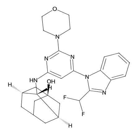 O[C@]12CC3C[C@H](C1)[C@@H](Nc1cc(-n4c(C(F)F)nc5ccccc54)nc(N4CCOCC4)n1)[C@@H](C3)C2